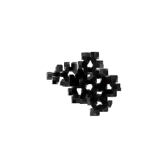 CC(C)(C)c1ccc(N(c2ccccc2)c2c3ccccc3c(-c3ccccc3-c3ccccc3)c3ccccc23)nc1